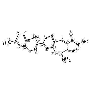 CCCN(CCC)C(=O)C1=Cc2ccc(C3=NCc4cc(C)ccc4N3)cc2N=C(N)C1